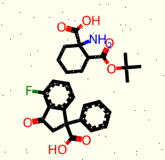 CC(C)(C)OC(=O)C1CCCCC1(N)C(=O)O.O=C1CC(C(=O)O)(c2ccccc2)c2cccc(F)c21